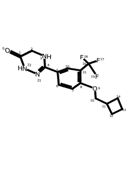 O=C1CNC(c2ccc(OCC3CCC3)c(C(F)(F)F)c2)=NN1